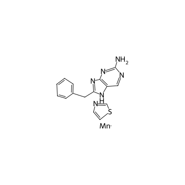 Nc1ncc2[nH]c(Cc3ccccc3)nc2n1.[Mn].c1cscn1